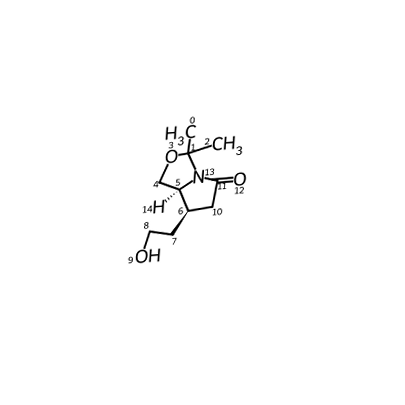 CC1(C)OC[C@@H]2[C@H](CCO)CC(=O)N21